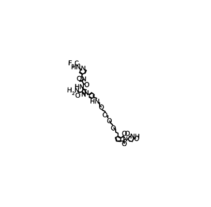 NC(=O)c1nn(-c2ccc(CNCCOCCOCCOCCOCCCc3cccc4c3C(=O)N(C3CCC(=O)NC3=O)C4=O)cc2)cc1NC(=O)c1coc(-c2ccnc(NCC(F)(F)F)c2)n1